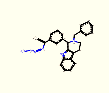 C=C(/N=N\NN)c1cccc(C2c3[nH]c4ccccc4c3CCN2Cc2ccccc2)c1